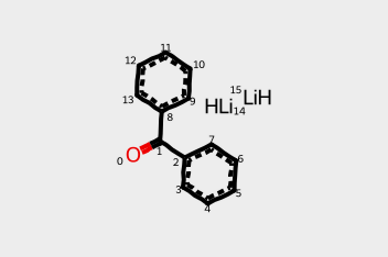 O=C(c1ccccc1)c1ccccc1.[LiH].[LiH]